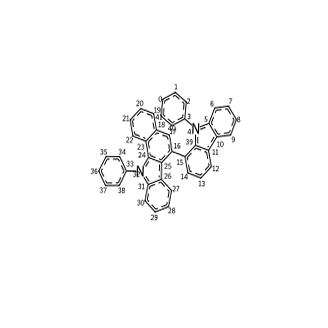 c1ccc(-n2c3ccccc3c3cccc(-c4cc5ccccc5c5c4c4ccccc4n5-c4ccccc4)c32)cc1